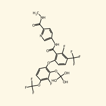 CNC(=O)c1ccc(NC(=O)c2c(Oc3ccc(OC(F)(F)F)c(F)c3OC(O)(O)O)ccc(C(F)(F)F)c2F)cn1